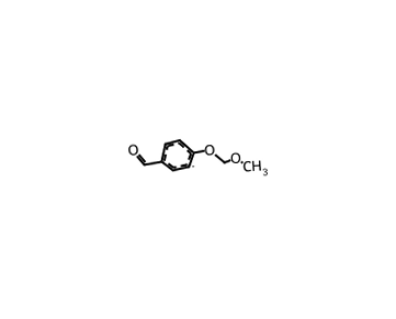 COCOc1[c]cc(C=O)cc1